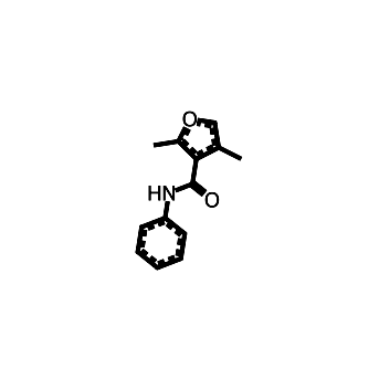 Cc1coc(C)c1C(=O)Nc1ccccc1